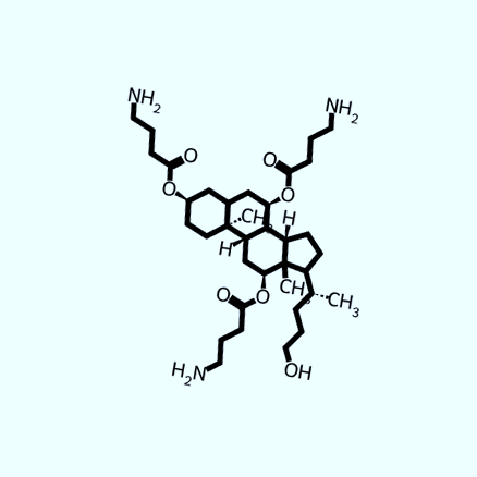 C[C@H](CCCO)C1CC[C@H]2C3[C@H](OC(=O)CCCN)CC4C[C@H](OC(=O)CCCN)CC[C@]4(C)[C@H]3C[C@H](OC(=O)CCCN)C12C